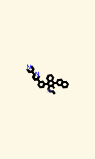 C=C/C=C\C1=C(C)C(C2C=CC3=C(C=CCC3)C2)C2CCC=CC2=C1C1=CCCC(c2ccc(-c3ccncc3)nc2)=C1